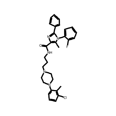 Cc1c(Cl)cccc1N1CCN(CCCNC(=O)c2nc(-c3ccccc3)n(-c3ccccc3F)c2C)CC1